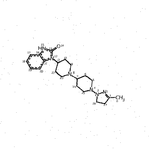 CC1=NN(N2CCC(N3CCC(n4c(=O)[nH]c5ccccc54)CC3)CC2)CC1